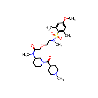 COc1cc(C)c(S(=O)(=O)N(C)CCOCC(=O)N(C)C2CCCN(C(=O)C3CCN(C)CC3)C2)c(C)c1